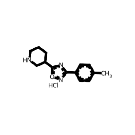 Cc1ccc(-c2noc(C3CCCNC3)n2)cc1.Cl